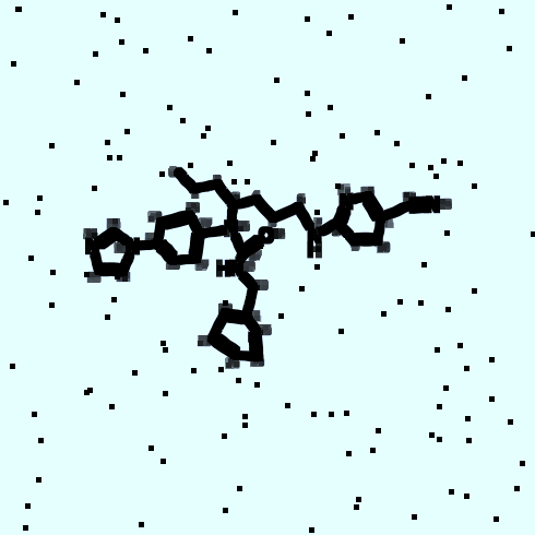 CCCC(CCCNc1ccc(C#N)cn1)N(C(=O)NCc1ccccc1)c1ccc(-n2ccnc2)cc1